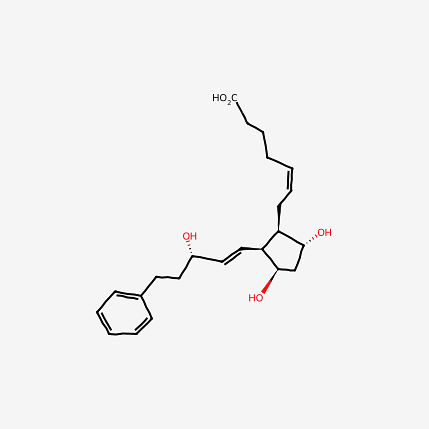 O=C(O)CCC/C=C\C[C@@H]1[C@H](C=C[C@@H](O)CCc2ccccc2)[C@H](O)C[C@H]1O